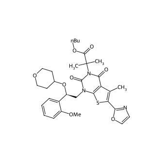 CCCCOC(=O)C(C)(C)n1c(=O)c2c(C)c(-c3ncco3)sc2n(C[C@H](OC2CCOCC2)c2ccccc2OC)c1=O